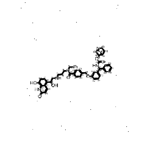 CC(C)CN(CCCNCC(O)c1ccc(O)c2[nH]c(=O)ccc12)C(=O)c1ccc(COc2cccc([C@@H](NC(=O)OC3CN4CCC3CC4)c3ccccc3)c2)cc1